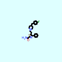 NC(=O)c1nc(-c2ccccc2)c(CCN2CCC(=Cc3ccc(F)cc3)CC2)s1